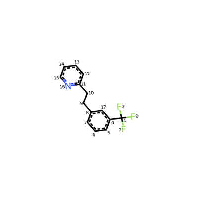 FC(F)(F)c1cccc(CCc2ccccn2)c1